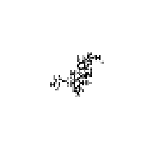 CC(C)CCn1c(=O)c(C2=NS(=O)(=O)c3cc(NS(C)(=O)=O)ccc3N2)c(O)c2cc(F)cn21